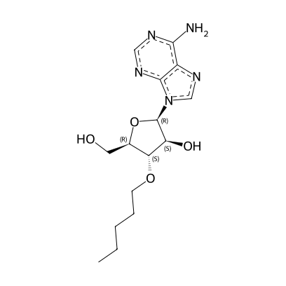 CCCCCO[C@H]1[C@H](O)[C@H](n2cnc3c(N)ncnc32)O[C@@H]1CO